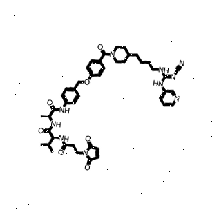 CC(C)[C@H](NC(=O)CCN1C(=O)C=CC1=O)C(=O)N[C@@H](C)C(=O)Nc1ccc(COc2ccc(C(=O)N3CCC(CCCCN/C(=N\C#N)Nc4cccnc4)CC3)cc2)cc1